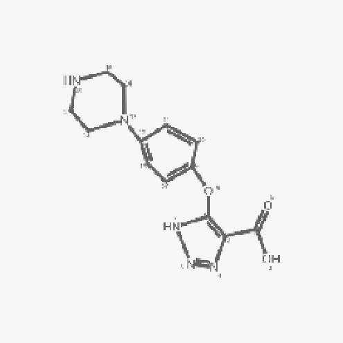 O=C(O)c1nn[nH]c1Oc1ccc(N2CCNCC2)cc1